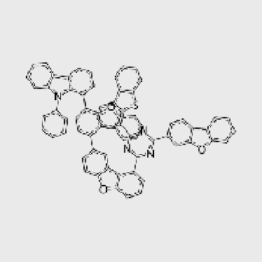 c1ccc(-n2c3ccccc3c3cccc(-c4ccc(-c5ccc6oc7cccc(-c8nc(-c9ccc%10c(c9)oc9ccccc9%10)nc(-c9cccc%10c9sc9ccccc9%10)n8)c7c6c5)c5c4oc4ccccc45)c32)cc1